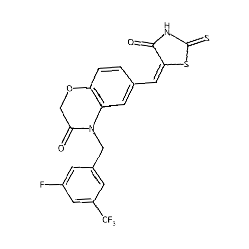 O=C1NC(=S)S/C1=C/c1ccc2c(c1)N(Cc1cc(F)cc(C(F)(F)F)c1)C(=O)CO2